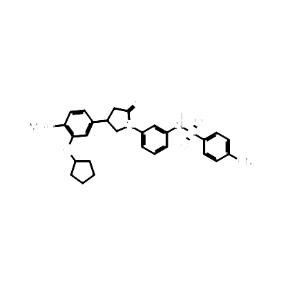 COc1ccc(C2CC(=O)N(c3cccc(NS(=O)(=O)c4ccc(C#N)cc4)c3)C2)cc1OC1CCCC1